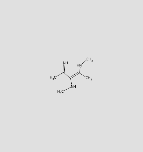 CN/C(C)=C(/NC)C(C)=N